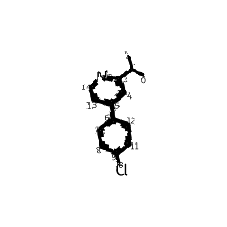 CC(C)c1cc(-c2ccc(Cl)cc2)ccn1